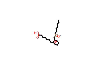 CCCCCCC[S+]([O-])CC1C2CCC(O2)C1CCCCCCC(=O)O